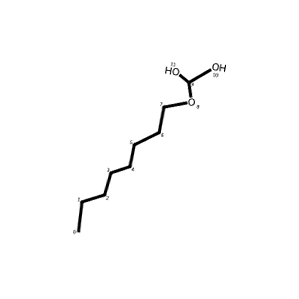 CCCCCCCCOC(O)O